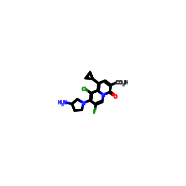 NC1CCN(c2c(F)cn3c(=O)c(C(=O)O)cc(C4CC4)c3c2Cl)C1